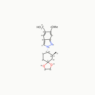 COc1cc2nn([C@H]3CCC4(C[C@@H]3C)OCCO4)cc2cc1C(=O)O